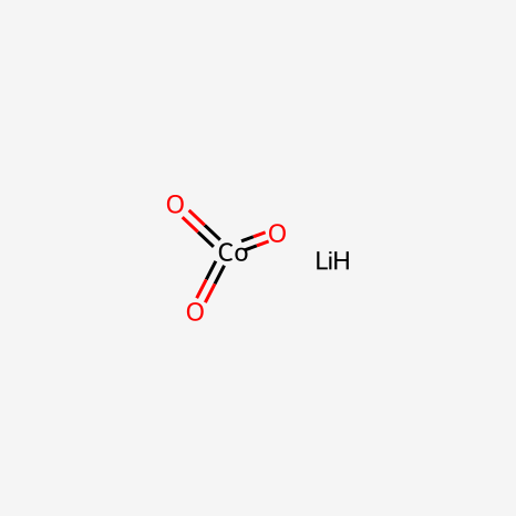 [LiH].[O]=[Co](=[O])=[O]